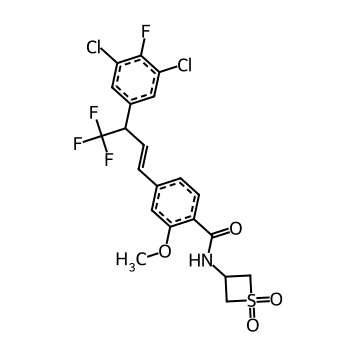 COc1cc(/C=C/C(c2cc(Cl)c(F)c(Cl)c2)C(F)(F)F)ccc1C(=O)NC1CS(=O)(=O)C1